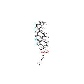 C=CCCC1OCC(c2ccc(-c3ccc(-c4ccc(CCCCCC)c(F)c4F)cc3)c(F)c2F)CO1